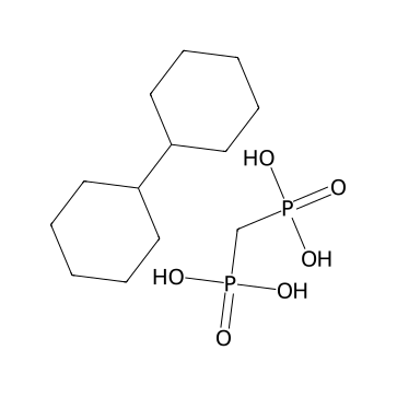 C1CCC(C2CCCCC2)CC1.O=P(O)(O)CP(=O)(O)O